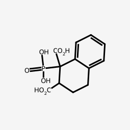 O=C(O)C1CCc2ccccc2C1(C(=O)O)P(=O)(O)O